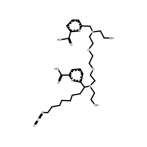 O=C(O)c1cccc(CN(CCO)CCOCCOCCN(CCO)C(CCCCCCCN=C=S)c2cccc(C(=O)O)n2)n1